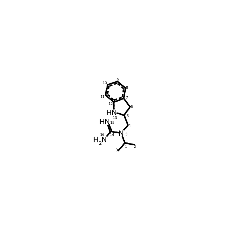 CC(C)N(CC1Cc2ccccc2N1)C(=N)N